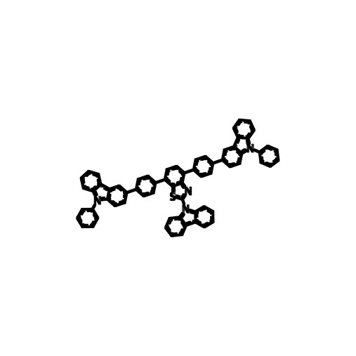 c1ccc(-n2c3ccccc3c3cc(-c4ccc(-c5ccc(-c6ccc(-c7ccc8c(c7)c7ccccc7n8-c7ccccc7)cc6)c6sc(-n7c8ccccc8c8ccccc87)nc56)cc4)ccc32)cc1